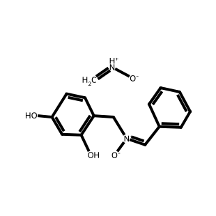 C=[NH+][O-].[O-]/[N+](=C/c1ccccc1)Cc1ccc(O)cc1O